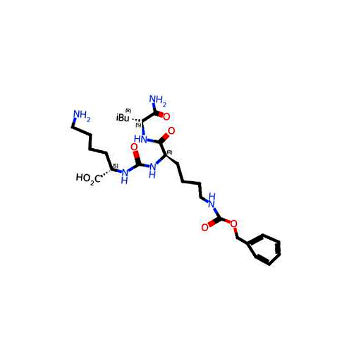 CC[C@@H](C)[C@H](NC(=O)[C@@H](CCCCNC(=O)OCc1ccccc1)NC(=O)N[C@@H](CCCCN)C(=O)O)C(N)=O